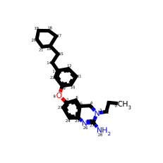 CCCN1Cc2cc(Oc3cccc(CCC4CCCCC4)c3)ccc2N=C1N